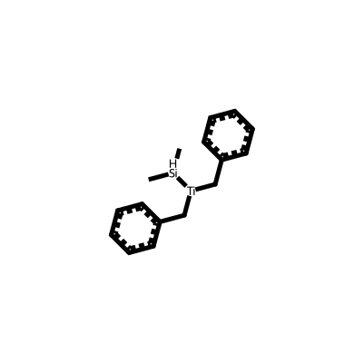 C[SiH](C)[Ti]([CH2]c1ccccc1)[CH2]c1ccccc1